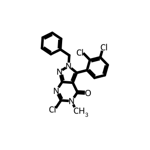 Cn1c(Cl)nc2nn(Cc3ccccc3)c(-c3cccc(Cl)c3Cl)c2c1=O